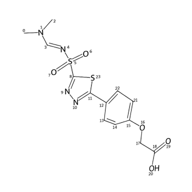 CN(C)/C=N/S(=O)(=O)c1nnc(-c2ccc(OCC(=O)O)cc2)s1